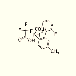 Cc1ccc(NC(=O)O)c(-c2ccccc2F)c1.O=C(O)C(F)(F)F